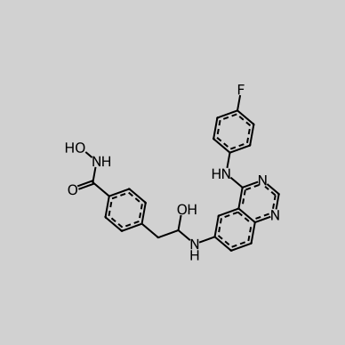 O=C(NO)c1ccc(CC(O)Nc2ccc3ncnc(Nc4ccc(F)cc4)c3c2)cc1